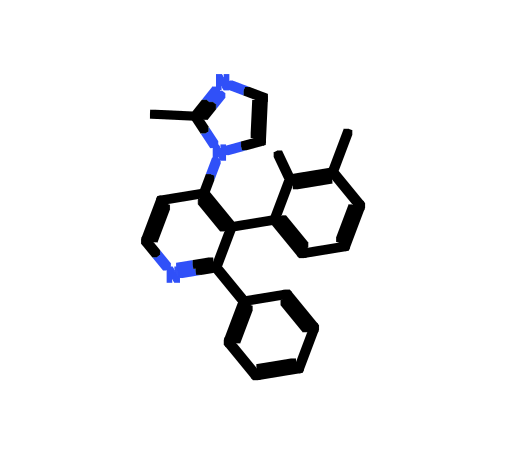 Cc1cccc(-c2c(-n3ccnc3C)ccnc2-c2ccccc2)c1C